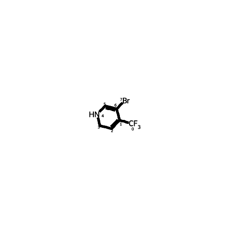 FC(F)(F)C1=CCNC=C1Br